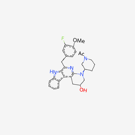 COc1ccc(Cc2nc3c(c4c2[nH]c2ccccc24)CC(O)CN3[C@@H]2CCCN(C(C)=O)C2)cc1F